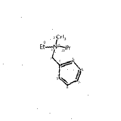 CC[N+](C)(Cc1ccccc1)C(C)C